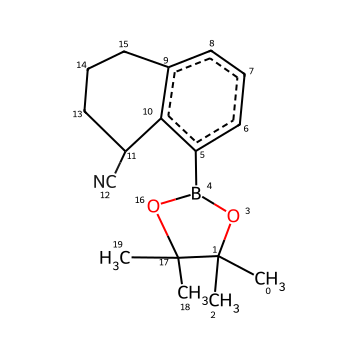 CC1(C)OB(c2cccc3c2C(C#N)CCC3)OC1(C)C